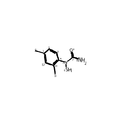 Cc1ccc(N(S)C(N)=O)c(C)c1